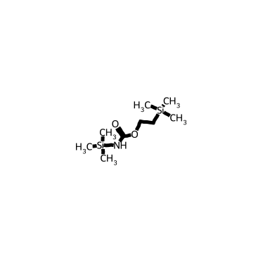 C[Si](C)(C)CCOC(=O)N[Si](C)(C)C